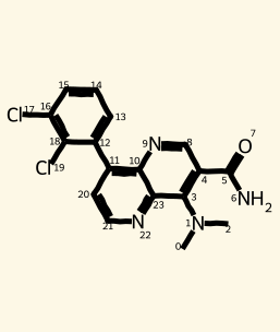 CN(C)c1c(C(N)=O)cnc2c(-c3cccc(Cl)c3Cl)ccnc12